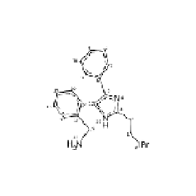 CC(C)CCc1nc(-c2ccccc2)c[nH]1.NCc1ccccc1